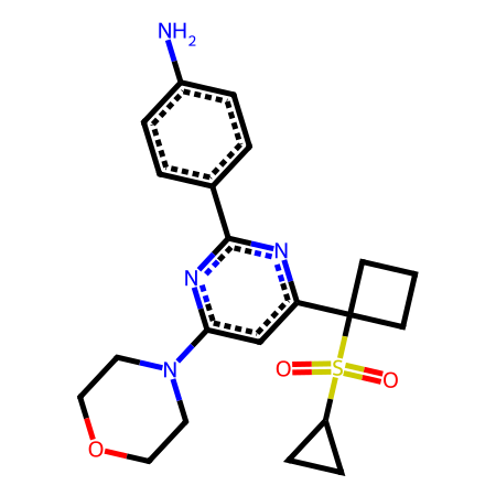 Nc1ccc(-c2nc(N3CCOCC3)cc(C3(S(=O)(=O)C4CC4)CCC3)n2)cc1